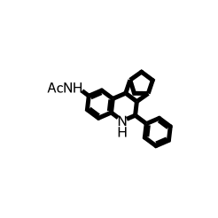 CC(=O)Nc1ccc2c(c1)C1C3CCC(C3)C1C(c1ccccc1)N2